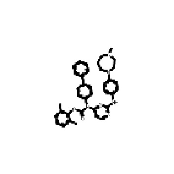 Cc1cccc(C)c1OC(=O)N(c1ccc(-c2ccccc2)cc1)c1ccnc(Nc2ccc(N3CCCN(C)CC3)cc2)n1